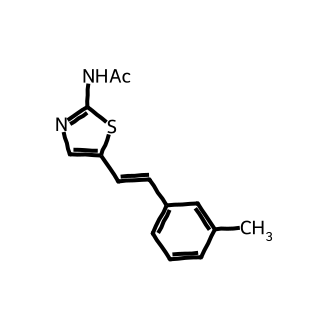 CC(=O)Nc1ncc(/C=C/c2cccc(C)c2)s1